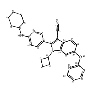 N#Cc1c(-c2cnc(NC3CCCCC3)nc2)n(C2CCC2)c2cc(Oc3ncccn3)ccc12